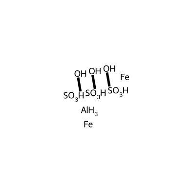 O=S(=O)(O)O.O=S(=O)(O)O.O=S(=O)(O)O.[AlH3].[Fe].[Fe]